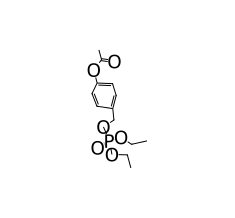 CCOP(=O)(OCC)OCc1ccc(OC(C)=O)cc1